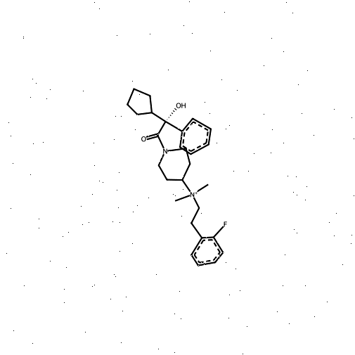 C[N+](C)(CCc1ccccc1F)C1CCN(C(=O)[C@](O)(c2ccccc2)C2CCCC2)CC1